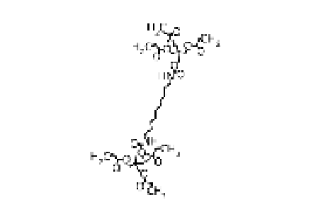 C=CC(=O)OCC(COC(=O)C=C)(COC(=O)C=C)COC(=O)NCCCCCCCCCCNC(=O)OCC(COC(=O)C=C)(COC(=O)C=C)COC(=O)C=C